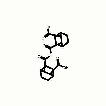 O=C(O)C1C2CCC(CC2)C1C(=O)OC(=O)C1C2CCC(CC2)C1C(=O)O